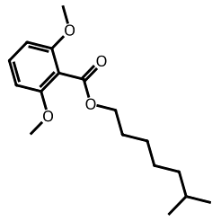 COc1cccc(OC)c1C(=O)OCCCCCC(C)C